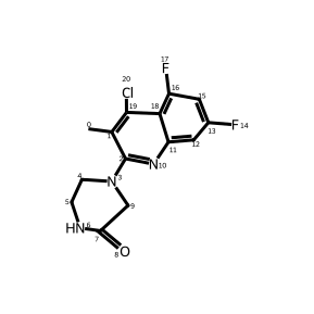 Cc1c(N2CCNC(=O)C2)nc2cc(F)cc(F)c2c1Cl